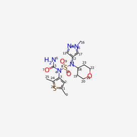 Cc1cc(N(C(N)=O)S(=O)(=O)N(c2cnn(C)c2)C2CCOCC2)c(C)s1